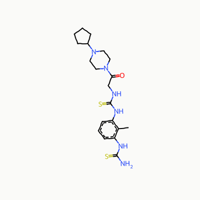 Cc1c(NC(N)=S)cccc1NC(=S)NCC(=O)N1CCN(C2CCCC2)CC1